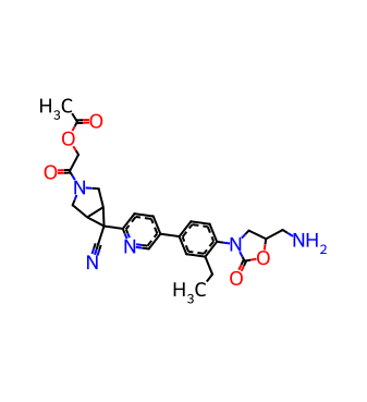 CCc1cc(-c2ccc(C3(C#N)C4CN(C(=O)COC(C)=O)CC43)nc2)ccc1N1CC(CN)OC1=O